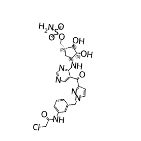 NS(=O)(=O)OC[C@H]1C[C@@H](Nc2ncncc2C(=O)c2ccn(Cc3cccc(NC(=O)CCl)c3)n2)[C@H](O)[C@@H]1O